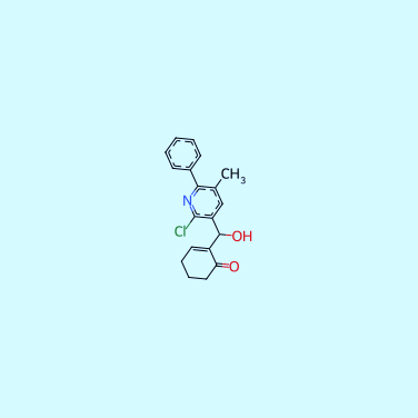 Cc1cc(C(O)C2=CCCCC2=O)c(Cl)nc1-c1ccccc1